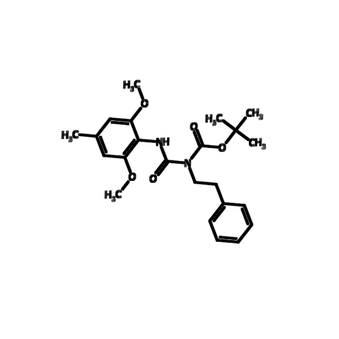 COc1cc(C)cc(OC)c1NC(=O)N(CCc1ccccc1)C(=O)OC(C)(C)C